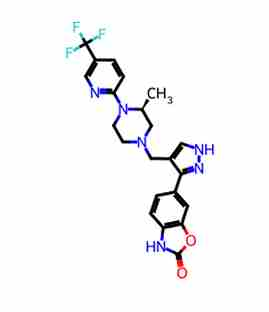 C[C@H]1CN(Cc2c[nH]nc2-c2ccc3[nH]c(=O)oc3c2)CCN1c1ccc(C(F)(F)F)cn1